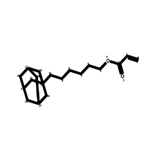 C=CC(=O)OCCCCCCC12CC3CC(CC(C3)C1)C2